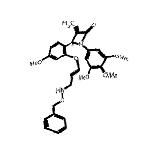 C=C1C(=O)N(c2cc(OC)c(OC)c(OC)c2)[C@H]1c1ccc(OC)cc1OCCCNOCc1ccccc1